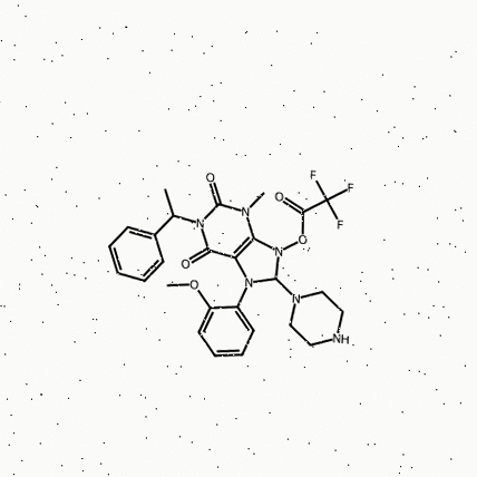 COc1ccccc1N1c2c(n(C)c(=O)n(C(C)c3ccccc3)c2=O)N(OC(=O)C(F)(F)F)C1N1CCNCC1